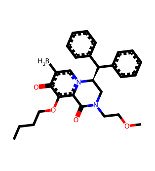 Bc1cn2c(c(OCCCC)c1=O)C(=O)N(CCOC)C[C@@H]2C(c1ccccc1)c1ccccc1